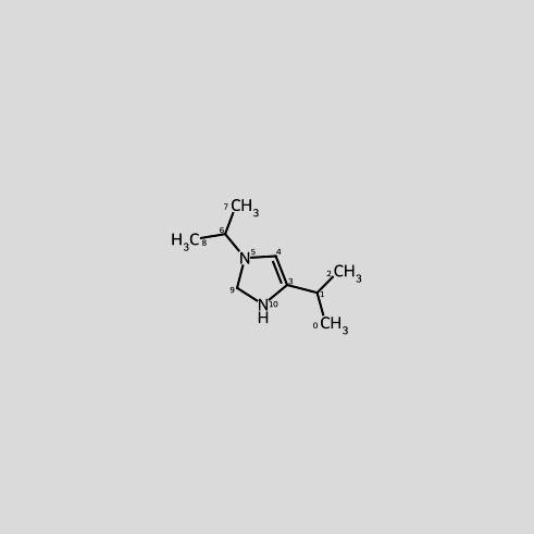 CC(C)C1=CN(C(C)C)CN1